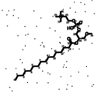 CCCCCCCCCCCCCCCC(=O)O[C@H](COC)COP(=O)(O)OCC[N+](C)(C)C